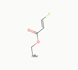 CCCCCOC(=O)C=CF